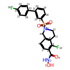 O=C(NO)c1ccc2c(c1F)CCN(S(=O)(=O)c1cccc(-c3ccc(F)cc3)c1)C2